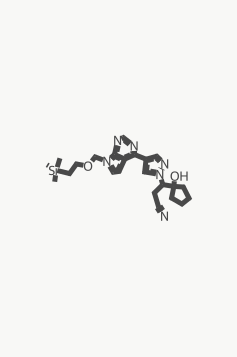 C[Si](C)(C)CCOCn1ccc2c(-c3cnn(C(CC#N)C4(O)CCCC4)c3)ncnc21